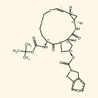 CC(C)(C)OC(=O)N[C@H]1CCCCC/C=C\[C@@H]2C[C@H]2NC(=O)[C@@H]2C[C@@H](OC(=O)N3Cc4ccccc4C3)CN2C1=O